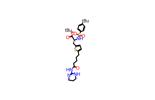 CC(C)(C)OC(=O)[C@H](Cc1ccc(CCCCC(=O)NC2=NCCCN2)s1)NS(=O)(=O)c1ccc(C(C)(C)C)cc1